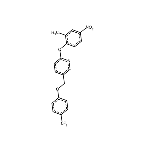 Cc1cc([N+](=O)[O-])ccc1Oc1ccc(COc2ccc(C(F)(F)F)cc2)cn1